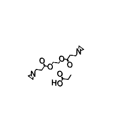 CCC(=O)O.O=C(CCN1CC1)OCCOC(=O)CCN1CC1